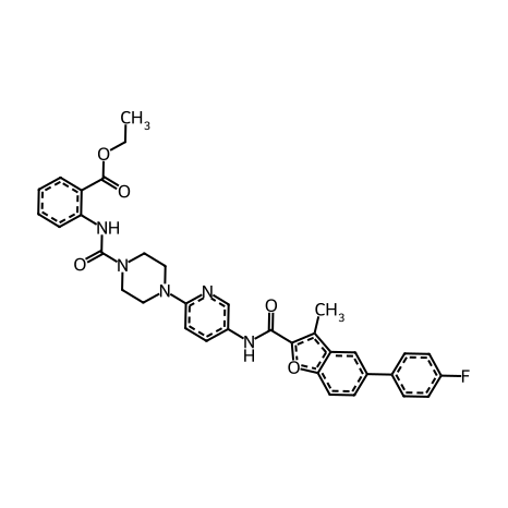 CCOC(=O)c1ccccc1NC(=O)N1CCN(c2ccc(NC(=O)c3oc4ccc(-c5ccc(F)cc5)cc4c3C)cn2)CC1